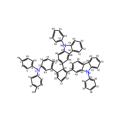 Cc1ccc(N(c2ccc(C)cc2)c2ccc(C)c(-c3cccc(-c4ccc5c6ccccc6n(-c6ccccc6)c5c4)c3-c3ccc4c(c3)c3ccccc3n4-c3ccccc3)c2)cc1